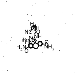 CC(C)c1nnc(C2(CCNCC(=O)N3C(C#N)C[C@@H]4C[C@@H]43)c3ccc(C(N)=O)cc3CCc3cc(C(N)=O)ccc32)[nH]1